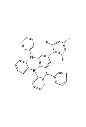 Fc1cc(F)c(-c2cc3c4c(c2)N(c2ccccc2)c2ccccc2B4c2ccccc2N3c2ccccc2)c(F)c1